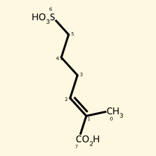 CC(=CC[CH]CS(=O)(=O)O)C(=O)O